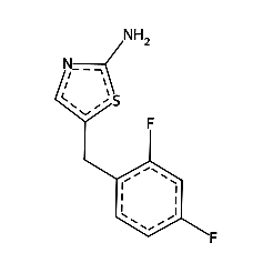 Nc1ncc(Cc2ccc(F)cc2F)s1